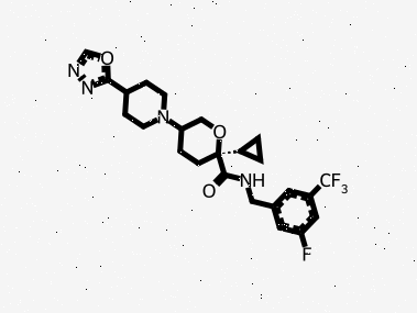 O=C(NCc1cc(F)cc(C(F)(F)F)c1)[C@@]1(C2CC2)CCC(N2CCC(c3nnco3)CC2)CO1